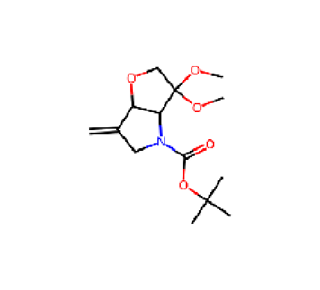 C=C1CN(C(=O)OC(C)(C)C)C2C1OCC2(OC)OC